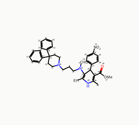 CCC1=C(N(C=O)CCCN2CCC(c3ccccc3)(c3ccccc3)CC2)C(c2ccc([N+](=O)[O-])cc2)C(C(=O)OC)=C(C)N1